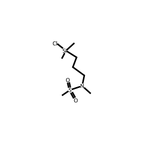 CN(CCC[Si](C)(C)Cl)S(C)(=O)=O